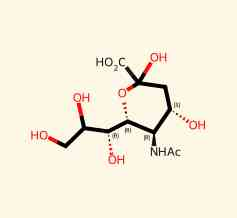 CC(=O)N[C@H]1[C@H]([C@H](O)C(O)CO)OC(O)(C(=O)O)C[C@@H]1O